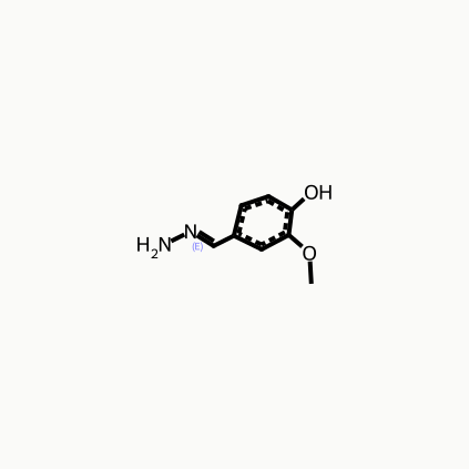 COc1cc(/C=N/N)ccc1O